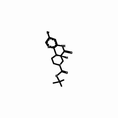 CC(C)(C)OC(=O)N1CCN2c3ncc(Br)cc3NC(=O)[C@@H]2C1